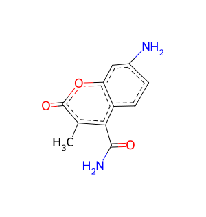 Cc1c(C(N)=O)c2ccc(N)cc2oc1=O